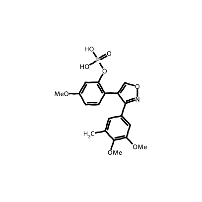 COc1ccc(-c2conc2-c2cc(C)c(OC)c(OC)c2)c(OP(=O)(O)O)c1